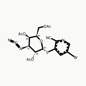 CC(=O)OC[C@H]1O[C@H](Sc2cc(Br)cnc2C#N)[C@H](OC(C)=O)[C@@H](N=[N+]=[N-])[C@H]1OC(C)=O